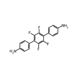 Nc1ccc(-c2c(F)c(F)c(-c3ccc(N)cc3)c(F)c2F)cc1